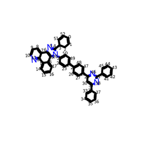 C1=CCC(c2nc3c4cccnc4c4ccccc4c3n2-c2ccc(-c3ccc(-c4cc(-c5ccccc5)nc(-c5ccccc5)n4)cc3)cc2)C=C1